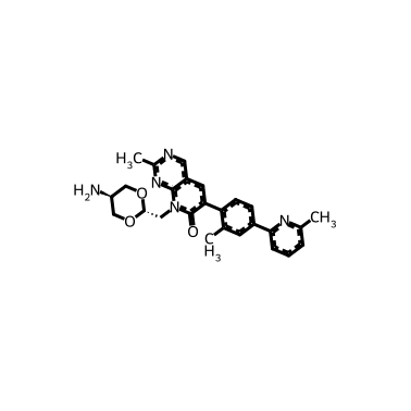 Cc1cccc(-c2ccc(-c3cc4cnc(C)nc4n(C[C@H]4OC[C@H](N)CO4)c3=O)c(C)c2)n1